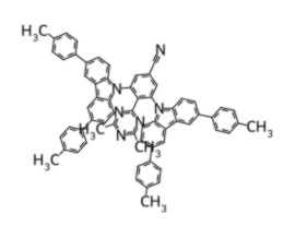 Cc1ccc(-c2ccc3c(c2)c2cc(-c4ccc(C)cc4)ccc2n3-c2cc(C#N)cc(-n3c4ccc(-c5ccc(C)cc5)cc4c4cc(-c5ccc(C)cc5)ccc43)c2-c2nc(C)nc(C)n2)cc1